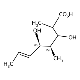 CC=C[C@@H](O)[C@H](C)C(O)C(C)C(=O)O